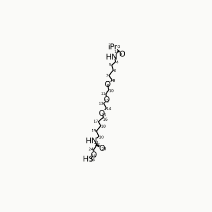 CC(C)C(=O)NCCCCCOCCOCCOCCCCCNC(=O)COS